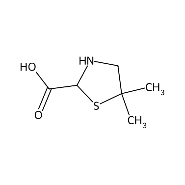 CC1(C)CNC(C(=O)O)S1